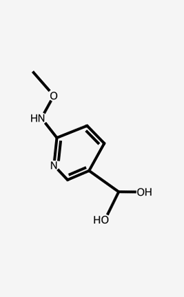 CONc1ccc(C(O)O)cn1